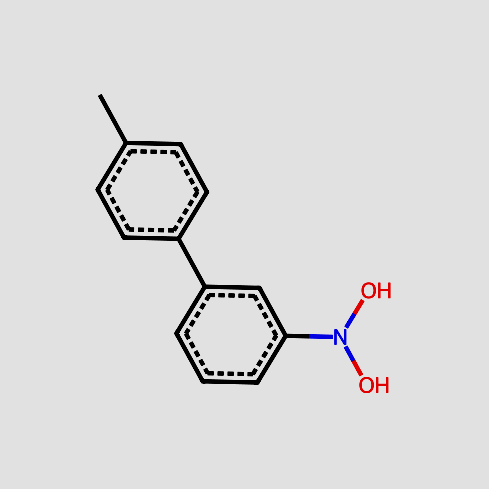 Cc1ccc(-c2cccc(N(O)O)c2)cc1